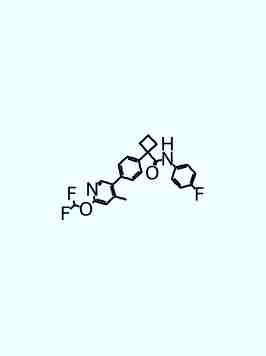 Cc1cc(OC(F)F)ncc1-c1ccc(C2(C(=O)Nc3ccc(F)cc3)CCC2)cc1